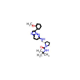 COc1ccccc1-c1cnc2ccc(NC[C@@H]3CCCN3C(=O)NC(C)(C)C)nn12